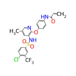 C=CC(=O)Nc1ccc(Oc2ncc(C)cc2NS(=O)(=O)c2ccc(Cl)c(C(F)(F)F)c2)cc1